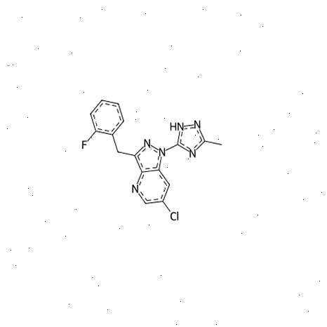 Cc1n[nH]c(-n2nc(Cc3ccccc3F)c3ncc(Cl)cc32)n1